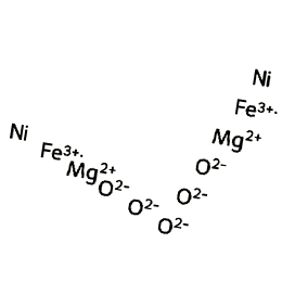 [Fe+3].[Fe+3].[Mg+2].[Mg+2].[Ni].[Ni].[O-2].[O-2].[O-2].[O-2].[O-2]